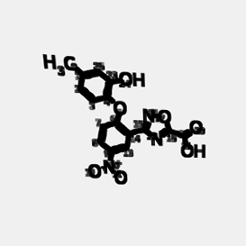 Cc1ccc(Oc2ccc([N+](=O)[O-])cc2-c2noc(C(=O)O)n2)c(O)c1